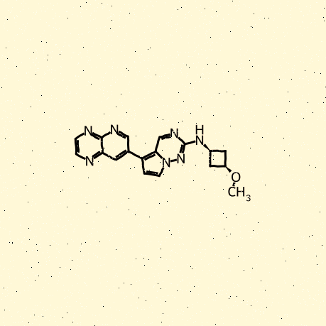 CO[C@H]1C[C@@H](Nc2ncc3c(-c4cnc5nccnc5c4)ccn3n2)C1